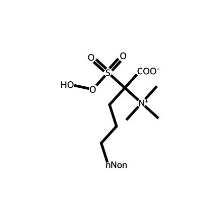 CCCCCCCCCCCCC(C(=O)[O-])([N+](C)(C)C)S(=O)(=O)OO